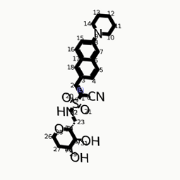 N#C/C(=C\c1ccc2cc(N3CCCCC3)ccc2c1)S(=O)(=O)NC[C@H]1OCC[C@@H](O)[C@@H]1O